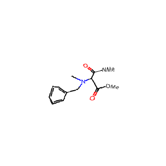 CNC(=O)C(C(=O)OC)N(C)Cc1ccccc1